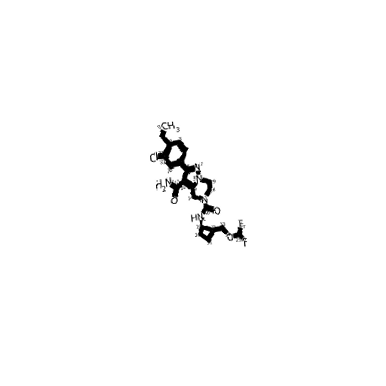 CCc1ccc(-c2nn3c(c2C(N)=O)CN(C(=O)N[C@@H]2CCC2COC(F)F)CC3)cc1Cl